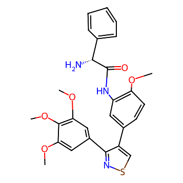 COc1ccc(-c2csnc2-c2cc(OC)c(OC)c(OC)c2)cc1NC(=O)[C@H](N)c1ccccc1